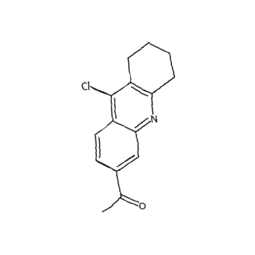 CC(=O)c1ccc2c(Cl)c3c(nc2c1)CCCC3